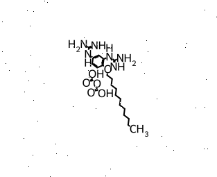 CCCCCCCCCCCCOc1ccc(NC(=N)N)cc1NC(=N)N.O=C(O)OC(=O)O